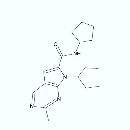 CCC(CC)n1c(C(=O)NC2CCCC2)cc2cnc(C)nc21